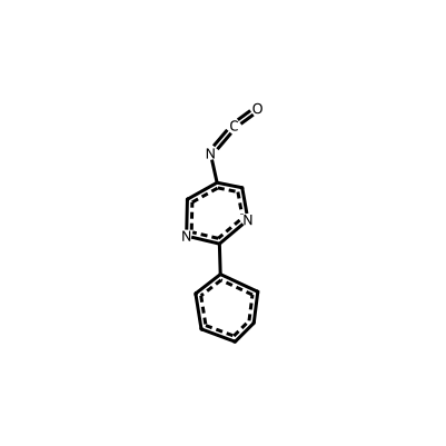 O=C=Nc1cnc(-c2ccccc2)nc1